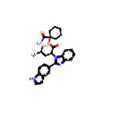 CC(C)CC(C(=O)OC1(C(N)=O)CCCCC1)n1c(-c2ccc3[nH]ccc3c2)nc2ccccc21